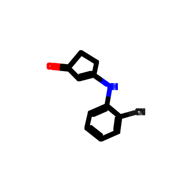 N#Cc1ccccc1NC1=CC(=O)CC1